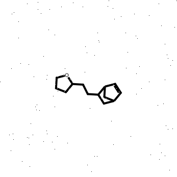 C1=CC2CC1CC2CCC1CCCO1